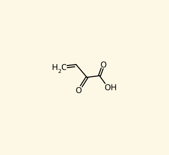 C=CC(=O)C(=O)O